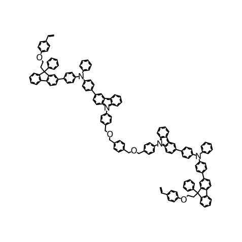 C=Cc1ccc(OCCC2(c3ccccc3)c3ccccc3-c3ccc(-c4ccc(N(c5ccccc5)c5ccc(-c6ccc7c(c6)c6ccccc6n7-c6ccc(COCc7ccc(COCc8ccc(-n9c%10ccccc%10c%10cc(-c%11ccc(N(c%12ccccc%12)c%12ccc(-c%13ccc%14c(c%13)C(CCOc%13ccc(C=C)cc%13)(c%13ccccc%13)c%13ccccc%13-%14)cc%12)cc%11)ccc%109)cc8)cc7)cc6)cc5)cc4)cc32)cc1